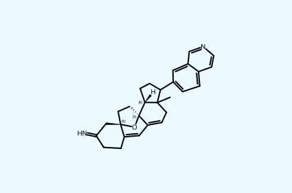 CC12CC=C3C=C4CCC(=N)C[C@]45CC[C@]3(O5)[C@@H]1CCC2c1ccc2ccncc2c1